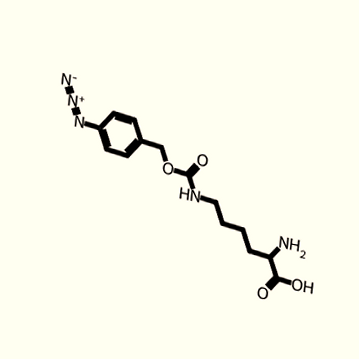 [N-]=[N+]=Nc1ccc(COC(=O)NCCCCC(N)C(=O)O)cc1